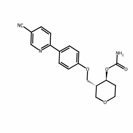 N#Cc1ccc(-c2ccc(OC[C@H]3COCC[C@@H]3OC(N)=O)cc2)nc1